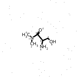 CN(C)C(=O)C(N)CO